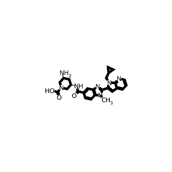 Cn1c(-c2cc3cccnc3n2CC2CC2)nc2cc(C(=O)N[C@H]3C[C@@H](N)CN(C(=O)O)C3)ccc21